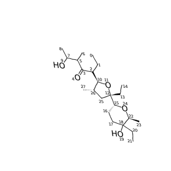 CCC(C(=O)C(C)C(C)O)[C@H]1O[C@](CC)([C@H]2CCC(O)(CC)[C@H](C)O2)C[C@@H]1C